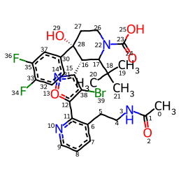 CC(=O)NCCc1cccnc1-c1onc([C@H]2C(C(C)(C)C)N(C(=O)O)CC[C@]2(O)c2ccc(F)c(F)c2)c1Br